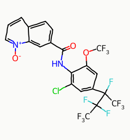 O=C(Nc1c(Cl)cc(C(F)(C(F)(F)F)C(F)(F)C(F)(F)F)cc1OC(F)(F)F)c1ccc2ccc[n+]([O-])c2c1